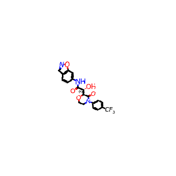 O=C(Nc1ccc2cnoc2c1)[C@H](O)C1OCCN(c2ccc(C(F)(F)F)cc2)C1=O